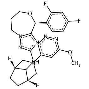 COc1cc(N2C[C@H]3CC[C@@H](C2)C3Nc2nc3n(n2)CCCO[C@H]3c2ccc(F)cc2F)cnn1